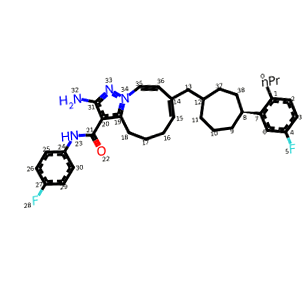 CCCc1ccc(F)cc1[C@H]1CCCC(CC2=C/CCCc3c(C(=O)Nc4ccc(F)cc4)c(N)nn3/C=C\2)CC1